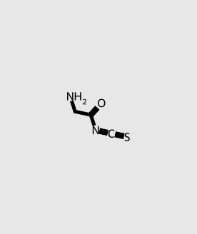 NCC(=O)N=C=S